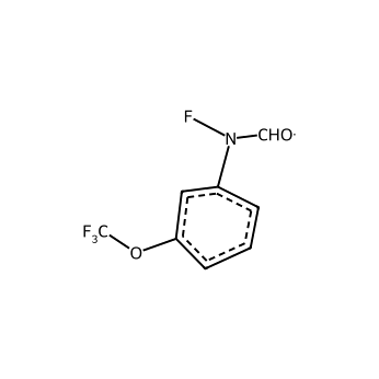 O=[C]N(F)c1cccc(OC(F)(F)F)c1